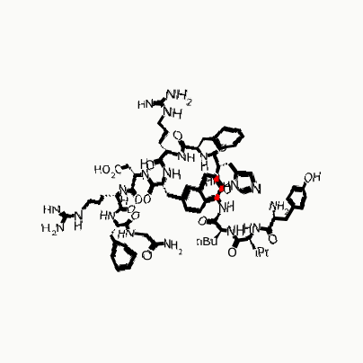 CCCC[C@H](NC(=O)[C@@H](NC(=O)[C@@H](N)Cc1ccc(O)cc1)C(C)C)C(=O)NCC(=O)N[C@@H](Cc1cnc[nH]1)C(=O)N[C@H](Cc1ccccc1)C(=O)N[C@@H](CCCNC(=N)N)C(=O)N[C@H](Cc1ccc2ccccc2c1)C(=O)N[C@@H](CC(=O)O)C(=O)N[C@@H](CCCNC(=N)N)C(=O)N[C@@H](Cc1ccccc1)C(=O)NCC(N)=O